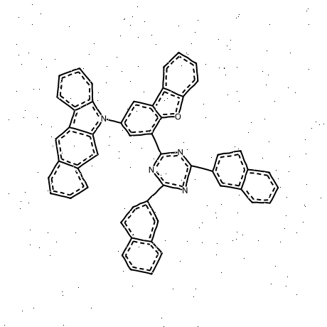 c1ccc2cc(-c3nc(-c4ccc5ccccc5c4)nc(-c4cc(-n5c6ccccc6c6cc7ccccc7cc65)cc5c4oc4ccccc45)n3)ccc2c1